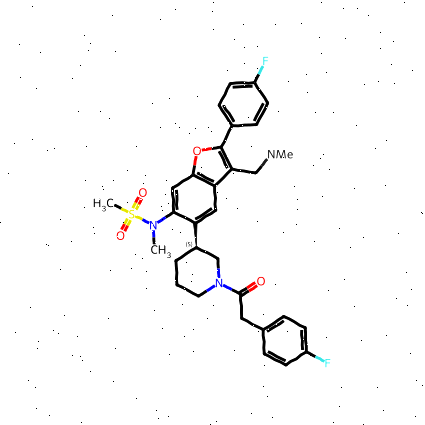 CNCc1c(-c2ccc(F)cc2)oc2cc(N(C)S(C)(=O)=O)c([C@@H]3CCCN(C(=O)Cc4ccc(F)cc4)C3)cc12